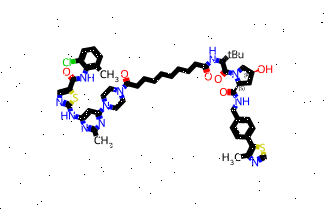 Cc1nc(Nc2ncc(C(=O)Nc3c(C)cccc3Cl)s2)cc(N2CCN(C(=O)CCCCCCCCC(=O)NC(C(=O)N3C[C@H](O)C[C@H]3C(=O)NCc3ccc(-c4scnc4C)cc3)C(C)(C)C)CC2)n1